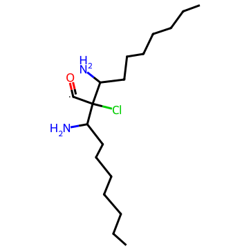 CCCCCCCC(N)C(Cl)([C]=O)C(N)CCCCCCC